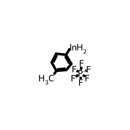 Cc1cc[c]([InH2])cc1.F[P-](F)(F)(F)(F)F